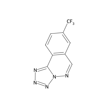 FC(F)(F)c1ccc2c(cnn3nnnc23)c1